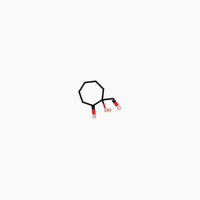 O=CC1(O)CCCCCC1=O